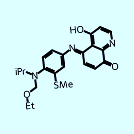 CCOCN(c1ccc(N=C2C=CC(=O)c3nccc(O)c32)cc1SC)C(C)C